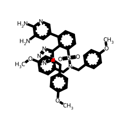 COc1ccc(CN(Cc2ccc(OC)cc2)S(=O)(=O)c2cccc(-c3cnc(N)c(N)c3)c2-c2nnnn2Cc2ccc(OC)cc2)cc1